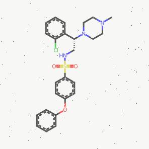 CN1CCN([C@H](CNS(=O)(=O)c2ccc(Oc3ccccc3)cc2)c2ccccc2Cl)CC1